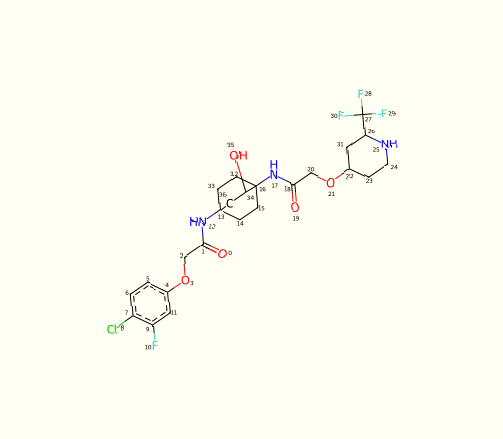 O=C(COc1ccc(Cl)c(F)c1)NC12CCC(NC(=O)COC3CCNC(C(F)(F)F)C3)(CC1)C(O)C2